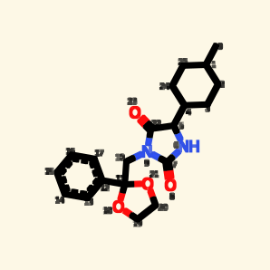 CC1CCC(C2NC(=O)N(CC3(c4ccccc4)OCCO3)C2=O)CC1